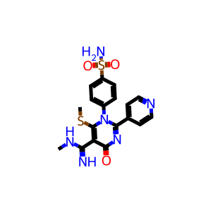 CNC(=N)c1c(SC)n(-c2ccc(S(N)(=O)=O)cc2)c(-c2ccncc2)nc1=O